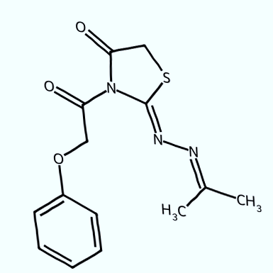 CC(C)=NN=C1SCC(=O)N1C(=O)COc1ccccc1